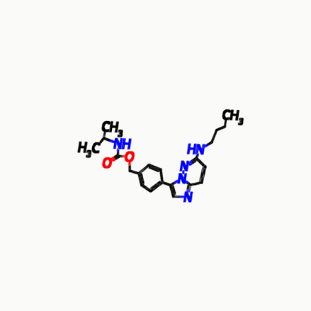 CCCCNc1ccc2ncc(-c3ccc(COC(=O)NC(C)C)cc3)n2n1